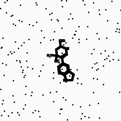 CC1(C)SC(C=O)NN=C1c1ccc2c(c1)CCN2